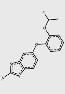 Nc1nc2ccc(Oc3ccccc3OC(F)F)cc2s1